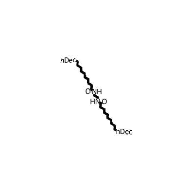 CCCCCCCCCCCCCCCCCCCC(=O)NCCNC(=O)CCCCCCCCCCCCCCCCCCC